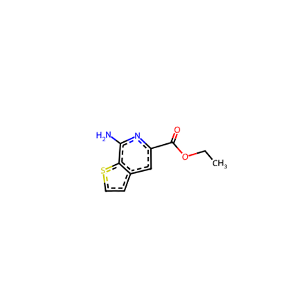 CCOC(=O)c1cc2ccsc2c(N)n1